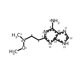 CON(C)CCc1nc(N)c2nc[nH]c2n1